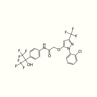 O=C(COc1cc(C(F)(F)F)nn1-c1ccccc1Cl)Nc1ccc(C(O)(C(F)(F)F)C(F)(F)F)cc1